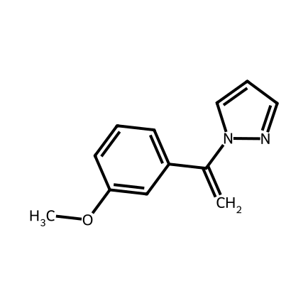 C=C(c1cccc(OC)c1)n1cccn1